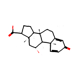 C[C@H]1C[C@@H]2[C@H]([C@@H](O)C[C@@]3(C)[C@H]2CC[C@]3(O)C(=O)O)[C@@]2(C)C=CC(=O)C=C12